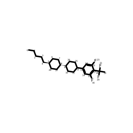 CCCCC[C@H]1CC[C@H](C2CCC(c3cc(F)c(C(C)(F)F)c(F)c3)CC2)CC1